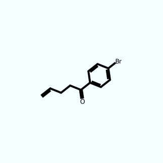 C=CCCC(=O)c1ccc(Br)cc1